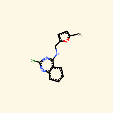 Cc1ccc(CNc2nc(Cl)nc3ccccc23)o1